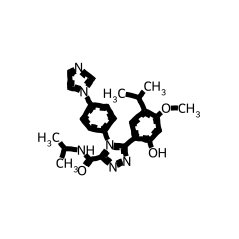 COc1cc(O)c(-c2nnc(C(=O)NC(C)C)n2-c2ccc(-n3ccnc3)cc2)cc1C(C)C